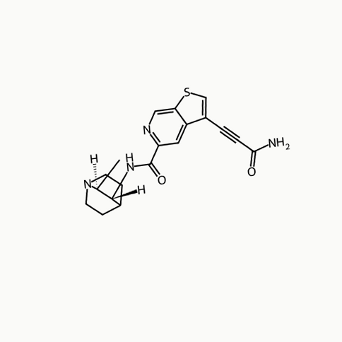 C[C@H]1[C@H](NC(=O)c2cc3c(C#CC(N)=O)csc3cn2)C2CCN1CC2